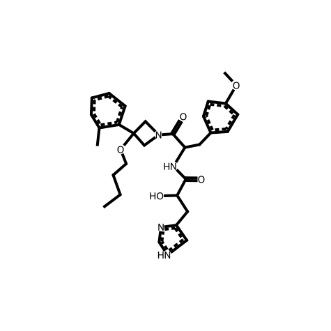 CCCCOC1(c2ccccc2C)CN(C(=O)C(Cc2ccc(OC)cc2)NC(=O)C(O)Cc2c[nH]cn2)C1